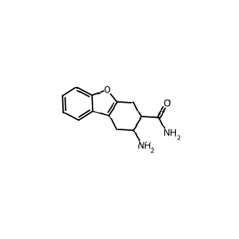 NC(=O)C1Cc2oc3ccccc3c2CC1N